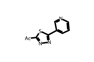 CC(=O)c1nnc(-c2cccnc2)s1